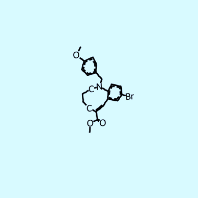 COC(=O)/C1=C/c2cc(Br)ccc2N(Cc2ccc(OC)cc2)CCCC1